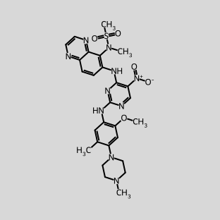 COc1cc(N2CCN(C)CC2)c(C)cc1Nc1ncc([N+](=O)[O-])c(Nc2ccc3nccnc3c2N(C)S(C)(=O)=O)n1